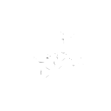 N#Cc1c(N)sc2c(F)ccc(-c3c(Cl)c4c5c(nc(OC[C@@]67CCCN6C[C@H](F)C7)nc5c3F)N(C3CCOC3)[C@@H](C3(O)CC3)CO4)c12